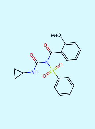 COc1ccccc1C(=O)N(C(=O)NC1CC1)S(=O)(=O)c1ccccc1